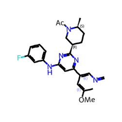 C=N/C=C(\C=C(/C)OC)c1cc(Nc2cccc(F)c2)nc([C@@H]2CC[C@H](C)N(C(C)=O)C2)n1